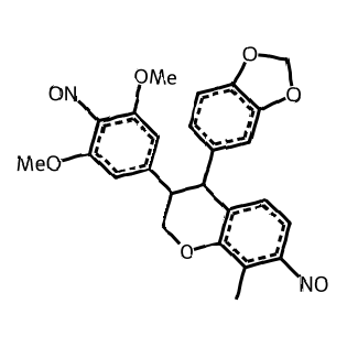 COc1cc(C2COc3c(ccc(N=O)c3C)C2c2ccc3c(c2)OCO3)cc(OC)c1N=O